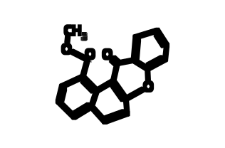 COC(=O)c1cccc2ccc3oc4ccccc4c(=O)c3c12